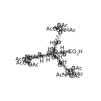 CC(=O)NC1C(OCCCCCC(=O)NCCCNC(=O)CN(CC(=O)NCCCNC(=O)CCCCCOC2OC(COC(C)=O)C(OC(C)=O)C(OC(C)=O)C2NC(C)=O)C(CCCCNC(=O)CCCC(=O)O)C(=O)NCCCNC(=O)CCCCCOC2OC(COC(C)=O)C(OC(C)=O)[C@@H](OC(C)=O)C2NC(C)=O)OC(COC(C)=O)C(OC(C)=O)C1C